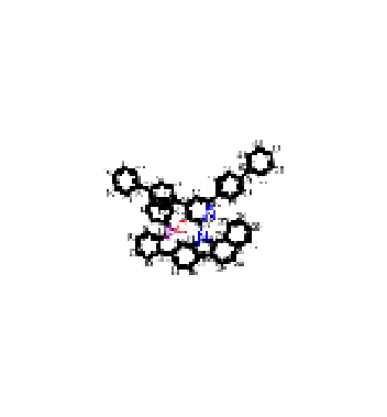 O=P1(c2ccccc2)c2ccccc2-c2ccc3c4ccc5ccccc5c4n(-c4cc(-c5ccc(-c6ccccc6)cc5)cc(-c5ccc(-c6ccccc6)cc5)n4)c3c21